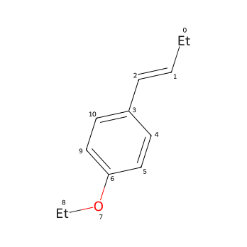 CCC=Cc1ccc(OCC)cc1